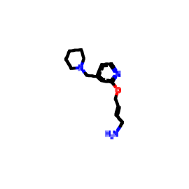 NCC=CCOc1cc(CN2CCCCC2)ccn1